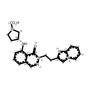 O=C(O)N1CC[C@@H](Nc2cccc3cnn(CCc4cn5ccccc5n4)c(=O)c23)C1